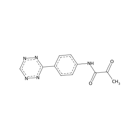 CC(=O)C(=O)Nc1ccc(-c2nncnn2)cc1